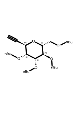 C#C[C@H]1O[C@H](COCCCC)[C@@H](OCCCC)[C@H](OCCCC)[C@@H]1OCCCC